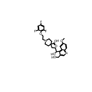 COc1ccc2ncc(CO)c(C(O)CCC3(C(=O)O)CCN(CCOc4c(F)cc(F)cc4F)CC3)c2c1